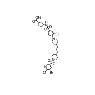 O=C(O)C1CCC(NS(=O)(=O)c2ccc(N3CCC(CCCC4CCN(S(=O)(=O)c5cnc(Cl)c(Br)c5)CC4)CC3)c(Cl)c2)C1